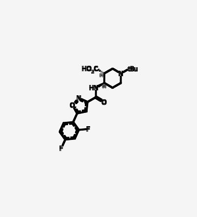 CC(C)(C)N1CC[C@@H](NC(=O)c2cc(-c3ccc(F)cc3F)on2)[C@H](C(=O)O)C1